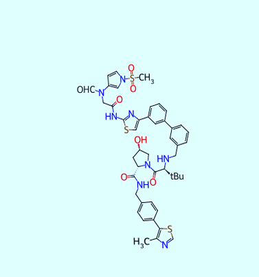 Cc1ncsc1-c1ccc(CNC(=O)[C@@H]2C[C@@H](O)CN2C(=O)[C@@H](NCc2cccc(-c3cccc(-c4csc(NC(=O)CN(C=O)c5ccn(S(C)(=O)=O)c5)n4)c3)c2)C(C)(C)C)cc1